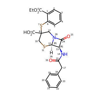 CCOC(=O)c1ccccc1SC1(C(=O)O)CS[C@@H]2[C@H](NC(=O)Cc3ccccc3)C(=O)N2C1